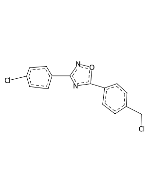 ClCc1ccc(-c2nc(-c3ccc(Cl)cc3)no2)cc1